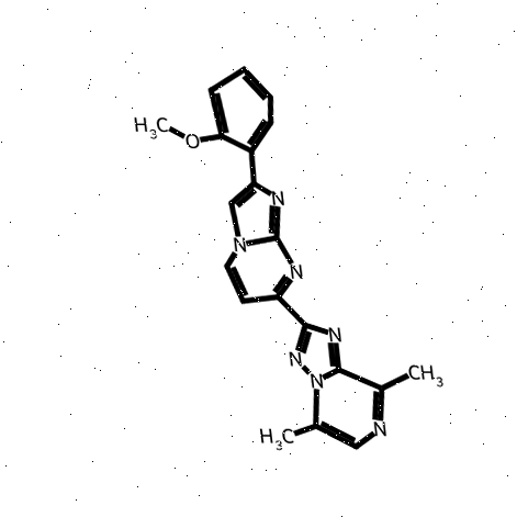 COc1ccccc1-c1cn2ccc(-c3nc4c(C)ncc(C)n4n3)nc2n1